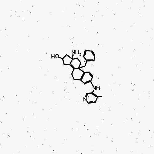 Cc1ccncc1Nc1ccc2c(c1)CCC1=C3CC(O)C[C@]3(N)CCC12Cc1ccccc1